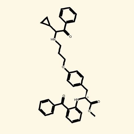 COC(=O)[C@H](Cc1ccc(OCCCNC(C(=O)c2ccccc2)C2CC2)cc1)Nc1ccccc1C(=O)c1ccccc1